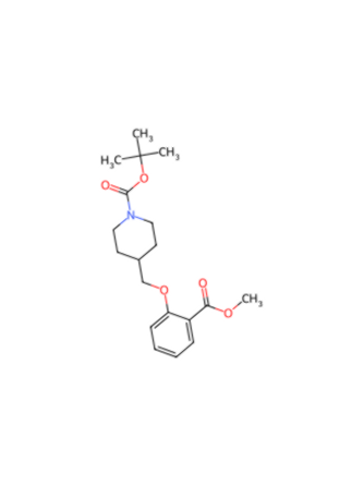 COC(=O)c1ccccc1OCC1CCN(C(=O)OC(C)(C)C)CC1